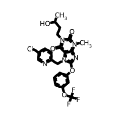 CC(O)CCn1c(=O)c2c(nc(Oc3cccc(OC(F)(F)F)c3)n2Cc2ccc(Cl)cn2)n(C)c1=O